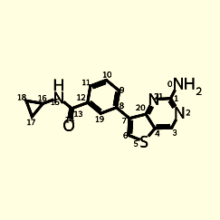 Nc1ncc2scc(-c3cccc(C(=O)NC4CC4)c3)c2n1